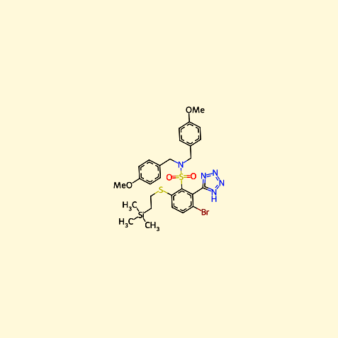 COc1ccc(CN(Cc2ccc(OC)cc2)S(=O)(=O)c2c(SCC[Si](C)(C)C)ccc(Br)c2-c2nnn[nH]2)cc1